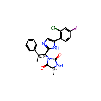 C[C@H]1NC(=O)N([C@H](c2ncc(-c3ccc(I)cc3Cl)[nH]2)[C@@H](C)c2ccccc2)C1=O